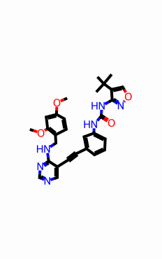 COc1ccc(CNc2ncncc2C#Cc2cccc(NC(=O)Nc3nocc3C(C)(C)C)c2)c(OC)c1